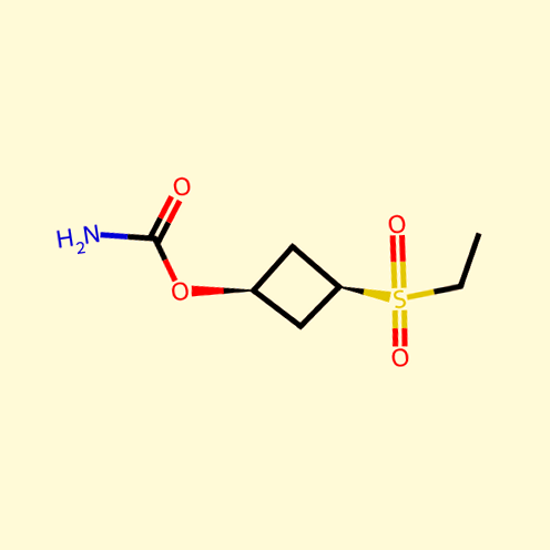 CCS(=O)(=O)[C@H]1C[C@@H](OC(N)=O)C1